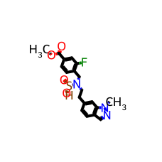 COC(=O)c1ccc(CN(CCc2ccc3cnn(C)c3c2)[SH](=O)=O)c(F)c1